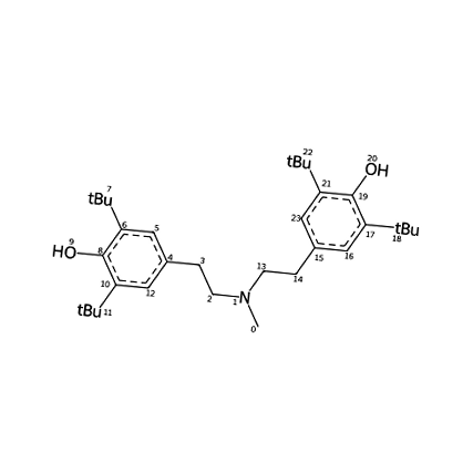 CN(CCc1cc(C(C)(C)C)c(O)c(C(C)(C)C)c1)CCc1cc(C(C)(C)C)c(O)c(C(C)(C)C)c1